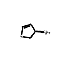 CC(C)C1C=CSC1